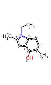 CCn1c(C)cc2c(O)c(C)ccc21